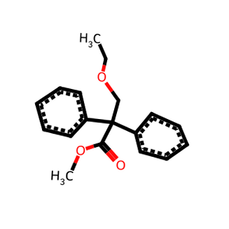 CCOCC(C(=O)OC)(c1ccccc1)c1ccccc1